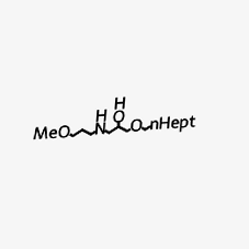 CCCCCCCCOCC(O)CNCCCOC